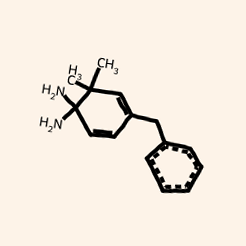 CC1(C)C=C(Cc2ccccc2)C=CC1(N)N